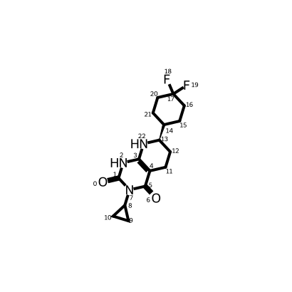 O=c1[nH]c2c(c(=O)n1C1CC1)CC[C@H](C1CCC(F)(F)CC1)N2